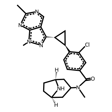 Cc1ncc2c([C@@H]3C[C@H]3c3ccc(C(=O)N(C)C4C[C@H]5CC[C@@H](C4)N5)cc3Cl)nn(C)c2n1